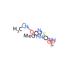 COc1cc2c(Nc3ccc(NS(=O)(=O)C4CC4)cc3F)ccnc2cc1OCCCN1CCCC(C)C1